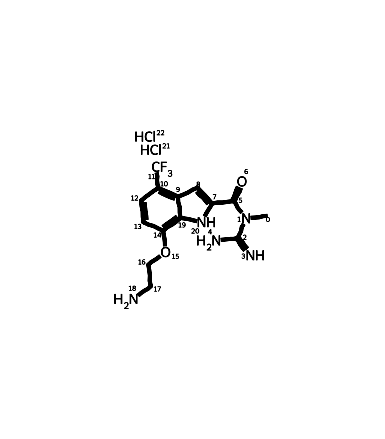 CN(C(=N)N)C(=O)c1cc2c(C(F)(F)F)ccc(OCCN)c2[nH]1.Cl.Cl